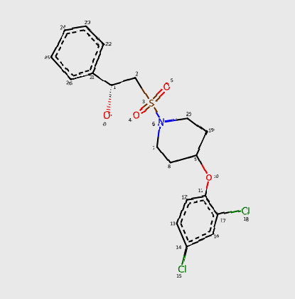 [O][C@@H](CS(=O)(=O)N1CCC(Oc2ccc(Cl)cc2Cl)CC1)c1ccccc1